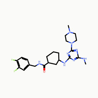 CNc1nc(NC2CCCC(C(=O)NCc3ccc(F)c(F)c3)C2)nc(N2CCN(C)CC2)n1